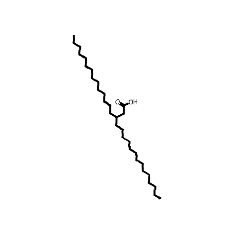 CCCCCCCCCCCCCCC(CCCCCCCCCCCCCC)CC(=O)O